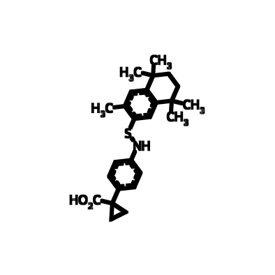 Cc1cc2c(cc1SNc1ccc(C3(C(=O)O)CC3)cc1)C(C)(C)CCC2(C)C